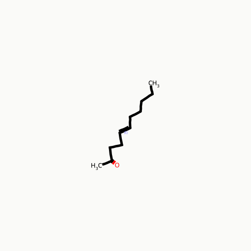 CCCCC/C=C/CCC(C)=O